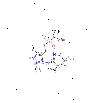 CCCCN(C(=O)O)S(=O)(=O)CCc1c(C)nn(C)c1-n1ccc2cc(C(F)(F)F)cnc21